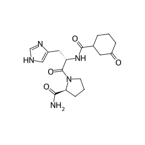 NC(=O)[C@@H]1CCCN1C(=O)[C@H](Cc1c[nH]cn1)NC(=O)C1CCCC(=O)C1